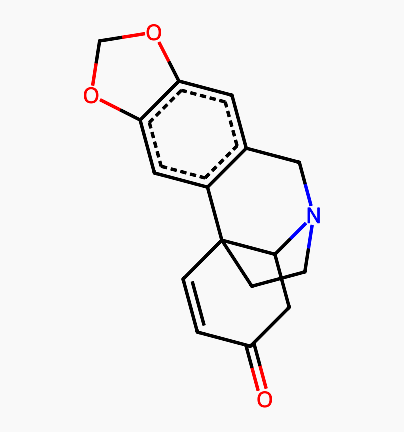 O=C1C=CC23CCN(Cc4cc5c(cc42)OCO5)C3C1